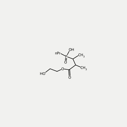 CCCP(=O)(O)C(C)C(C)C(=O)OCCO